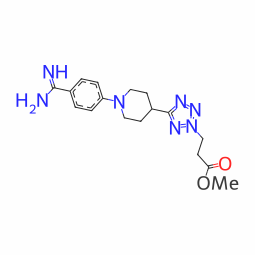 COC(=O)CCn1nnc(C2CCN(c3ccc(C(=N)N)cc3)CC2)n1